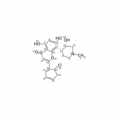 CN1CC[C@H](c2c(O)cc(O)c3c(=O)cc(C4=CC=CCC4Cl)oc23)[C@H](O)C1